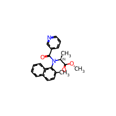 COC(=O)[C@H](C)N(C(=O)c1cccnc1)c1c(C)ccc2ccccc12